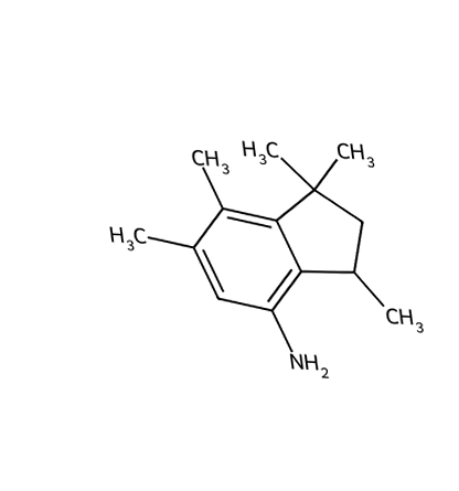 Cc1cc(N)c2c(c1C)C(C)(C)CC2C